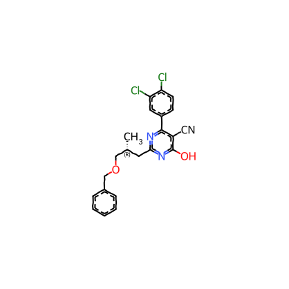 C[C@@H](COCc1ccccc1)Cc1nc(O)c(C#N)c(-c2ccc(Cl)c(Cl)c2)n1